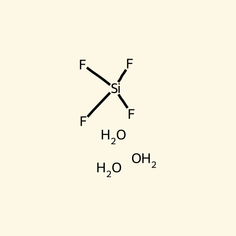 F[Si](F)(F)F.O.O.O